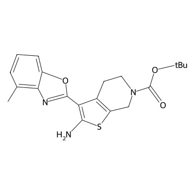 Cc1cccc2oc(-c3c(N)sc4c3CCN(C(=O)OC(C)(C)C)C4)nc12